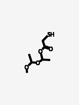 COC(C)OC(C)OC(=O)CS